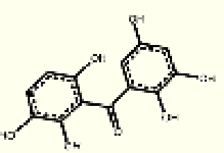 O=C(c1cc(O)cc(O)c1O)c1c(O)ccc(O)c1O